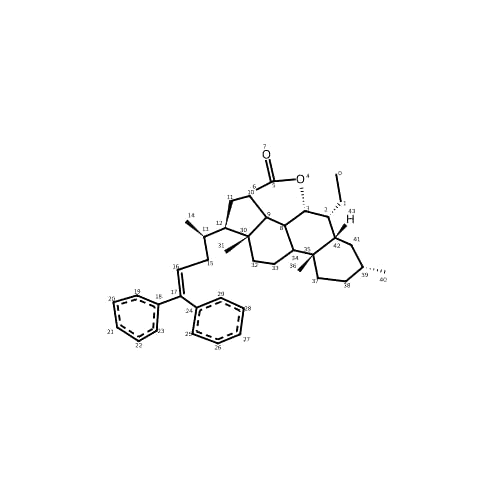 CC[C@H]1[C@@H](OC(C)=O)C2C3CC[C@H]([C@H](C)CC=C(c4ccccc4)c4ccccc4)[C@@]3(C)CCC2[C@@]2(C)CC[C@@H](C)C[C@@H]12